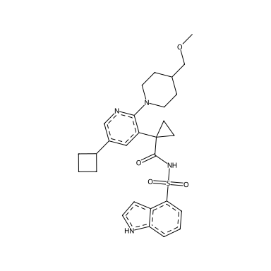 COCC1CCN(c2ncc(C3CCC3)cc2C2(C(=O)NS(=O)(=O)c3cccc4[nH]ccc34)CC2)CC1